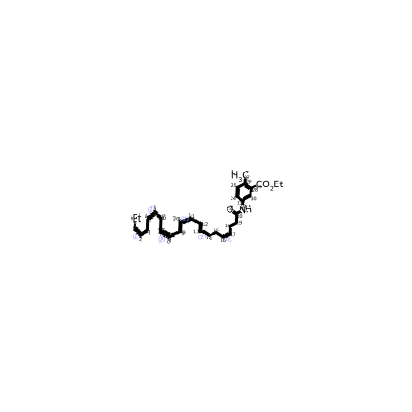 CC/C=C\C/C=C\C/C=C\C/C=C\C/C=C\C/C=C\CCC(=O)Nc1ccc(C)c(C(=O)OCC)c1